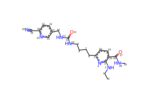 CCNc1nc(CCCCNC(=O)NCc2ccc(C#N)nc2)ccc1C(=O)NC